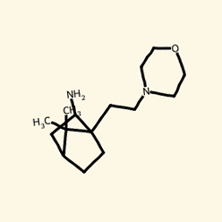 CC1(C)C2CCC1(CCN1CCOCC1)C(N)C2